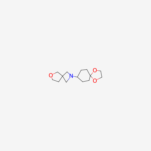 C1CC2(CO1)CN(C1CCC3(CC1)OCCO3)C2